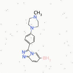 Bc1ccc2nnc(-c3ccc(N4CCN(C)CC4)cc3)n2c1